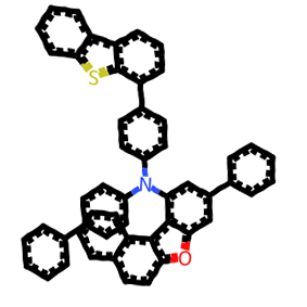 c1ccc(-c2ccc(N(c3ccc(-c4cccc5c4sc4ccccc45)cc3)c3cc(-c4ccccc4)cc4oc5ccc6ccccc6c5c34)cc2)cc1